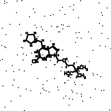 C[Si](C)(C)CCOCn1ccc2c(CN3CCCC3)nc(Cl)nc21